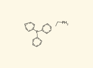 CCP.c1ccc(P(c2ccccc2)c2ccccc2)cc1